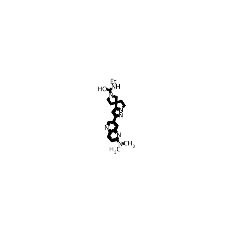 CCNC(O)N1CCC2(CCn3nc(-c4cnc5ccc(N(C)C)nc5c4)cc32)C1